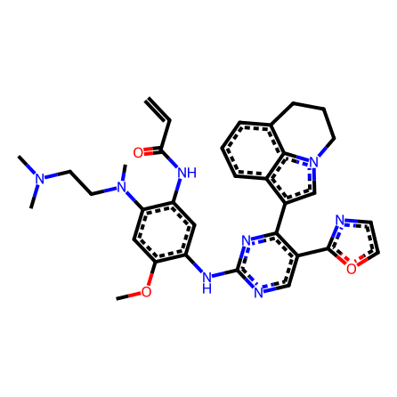 C=CC(=O)Nc1cc(Nc2ncc(-c3ncco3)c(-c3cn4c5c(cccc35)CCC4)n2)c(OC)cc1N(C)CCN(C)C